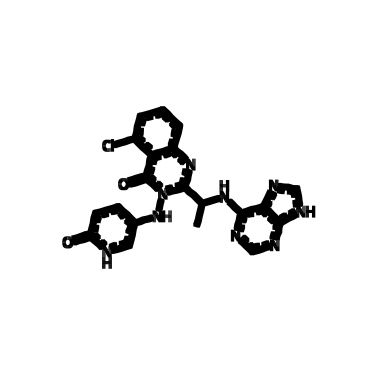 CC(Nc1ncnc2[nH]cnc12)c1nc2cccc(Cl)c2c(=O)n1Nc1ccc(=O)[nH]c1